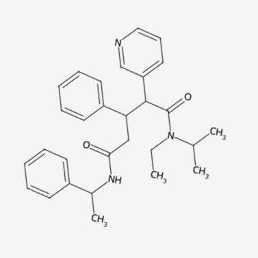 CCN(C(=O)C(c1cccnc1)C(CC(=O)NC(C)c1ccccc1)c1ccccc1)C(C)C